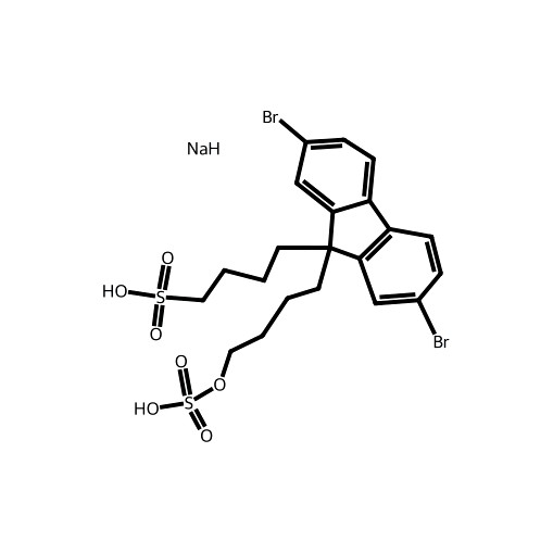 O=S(=O)(O)CCCCC1(CCCCOS(=O)(=O)O)c2cc(Br)ccc2-c2ccc(Br)cc21.[NaH]